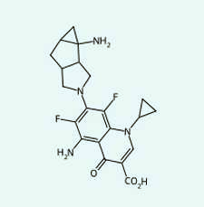 Nc1c(F)c(N2CC3CC4CC4(N)C3C2)c(F)c2c1c(=O)c(C(=O)O)cn2C1CC1